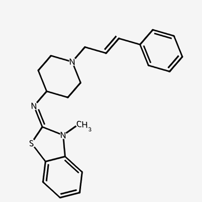 Cn1/c(=N\C2CCN(C/C=C/c3ccccc3)CC2)sc2ccccc21